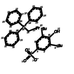 CC(C)(C)c1cc(S(=O)(=O)[O-])cc(C(C)(C)C)c1O.CC(C)C[P+](c1ccccc1)(c1ccccc1)c1ccccc1